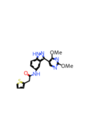 COc1ncc(-c2n[nH]c3ccc(NC(=O)Cc4cccs4)cc23)c(OC)n1